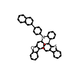 c1ccc(N(c2ccc(-c3ccc4ccccc4c3)cc2)c2ccc3c(c2)oc2ccccc23)c(-c2cccc3c2sc2ccccc23)c1